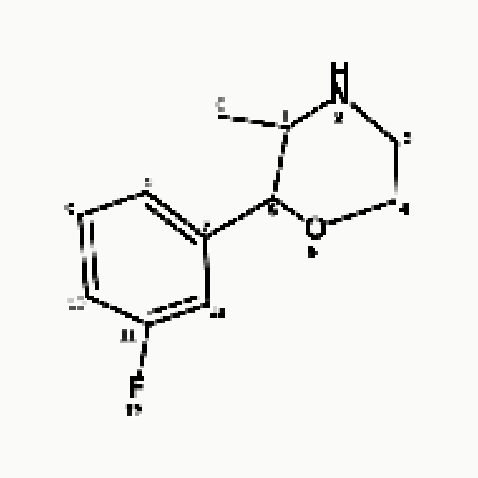 CC1NCCOC1c1cccc(F)c1